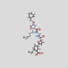 CCCCC[C@H](CN(C=O)OCc1ccccc1)C(=O)NCNC(=O)c1ccc(-c2ccc(C)c(C(=O)O)c2)o1